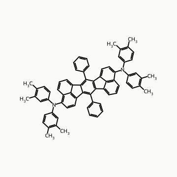 Cc1ccc(N(c2ccc(C)c(C)c2)c2ccc3c4c(-c5ccccc5)c5c6cccc7c(N(c8ccc(C)c(C)c8)c8ccc(C)c(C)c8)ccc(c5c(-c5ccccc5)c4c4cccc2c43)c76)cc1C